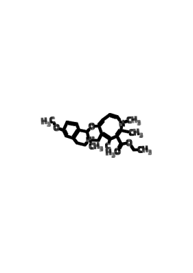 CCOC(=O)c1c(C)c2c(cccn(C)c1C)OC1c3ccc(OC)cc3CC[N+]1(C)C2